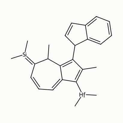 CC1=[C]([Hf]([CH3])[CH3])C2=CC=CC(=[Si](C)C)C(C)C2=C1C1C=Cc2ccccc21